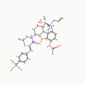 C=CCN1CC[C@]23c4c5ccc(OC(C)=O)c4OC2C(N(CC(C)C)C(=O)/C=C/c2ccc(C(F)(F)F)cc2)CC[C@@]3(O)[C@H]1C5